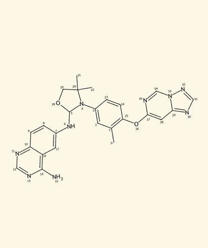 Cc1cc(N2C(Nc3ccc4ncnc(N)c4c3)OCC2(C)C)ccc1Oc1cc2ncnn2cn1